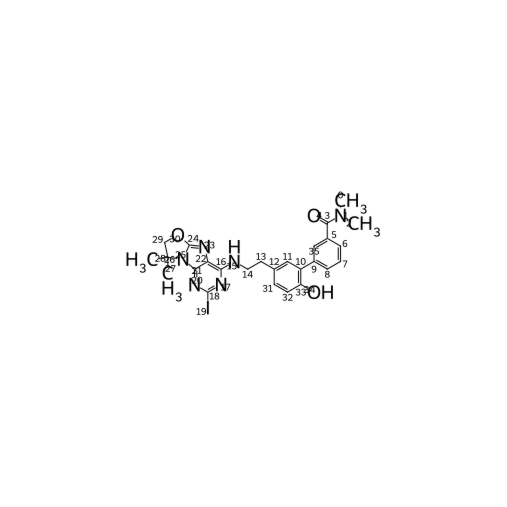 CN(C)C(=O)c1cccc(-c2cc(CCNc3nc(I)nc4c3nc3n4C(C)(C)CO3)ccc2O)c1